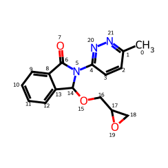 Cc1ccc(N2C(=O)c3ccccc3C2OCC2CO2)nn1